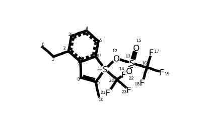 CCc1cccc2c1C=C(C)S2(OS(=O)(=O)C(F)(F)F)C(F)(F)F